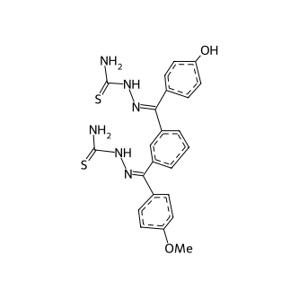 COc1ccc(C(=NNC(N)=S)c2cccc(C(=NNC(N)=S)c3ccc(O)cc3)c2)cc1